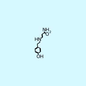 NC(=O)C=CNCCc1ccc(O)cc1